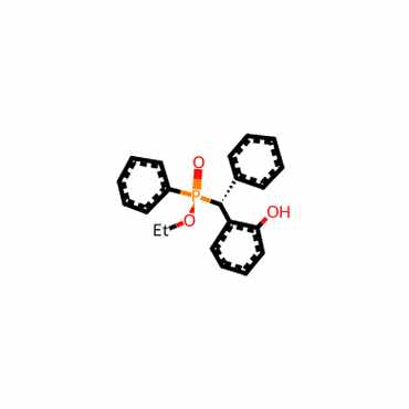 CCO[P@](=O)(c1ccccc1)[C@H](c1ccccc1)c1ccccc1O